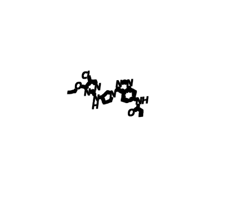 C=CC(=O)Nc1ccc2c(N3CCC(Nc4ncc(Cl)c(OCC)n4)C3)ncnc2c1